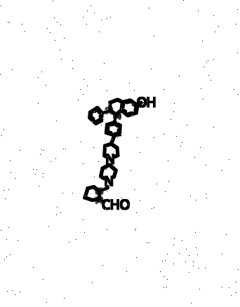 O=C[C@@H]1CCCC[C@H]1CN1CCC(N2CCC(c3ccc([C@@H]4c5ccc(O)cc5CC[C@@H]4c4ccccc4)cc3)CC2)CC1